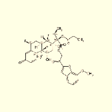 CCC(=O)O[C@]1(C(=O)SCC(=O)c2cc3cccc(OC)c3o2)[C@H](C)C[C@H]2[C@@H]3C[C@H](F)C4=CC(=O)C=C[C@]4(C)[C@@]3(F)[C@@H](O)C[C@@]21C